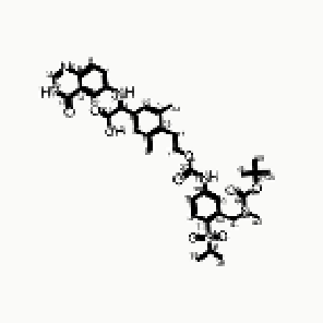 Cc1cc(C(Nc2ccc3nc[nH]c(=O)c3c2)C(=O)O)cc(C)c1CCOC(=O)Nc1ccc(S(=O)(=O)C(C)C)c(CN(C)C(=O)OC(C)(C)C)c1